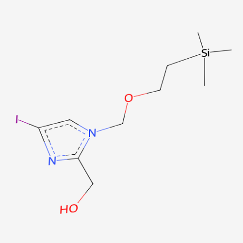 C[Si](C)(C)CCOCn1cc(I)nc1CO